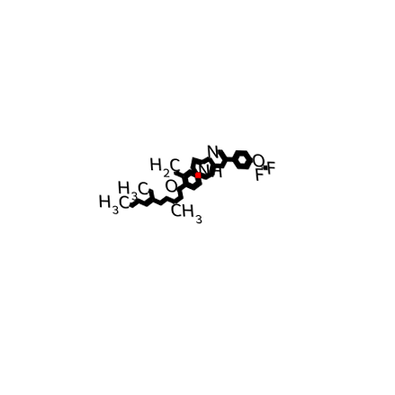 C=Cc1cc(N/C2=C\C/C=C\C=C3\CC(c4ccc(OC(F)F)cc4)=CN=C32)ccc1C(=O)CC(C)CC/C(=C/CCC)CC